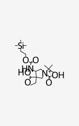 CCC1(C(=O)O)C[N+](C(=O)O)(C(C)(C)C)CC1NC(=O)OCC[Si](C)(C)C